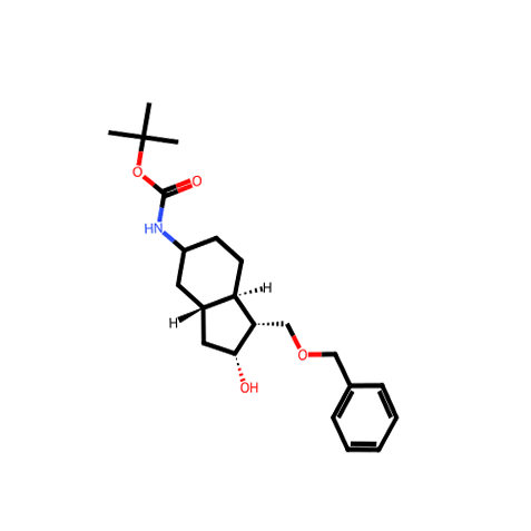 CC(C)(C)OC(=O)NC1CC[C@@H]2[C@@H](C1)C[C@@H](O)[C@H]2COCc1ccccc1